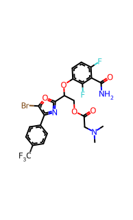 CN(C)CC(=O)OCC(Oc1ccc(F)c(C(N)=O)c1F)c1nc(-c2ccc(C(F)(F)F)cc2)c(Br)o1